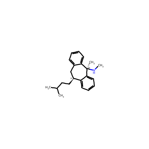 CN[C@]1(C)c2ccccc2C[C@H](CCC(C)C)c2ccccc21